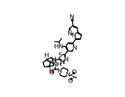 CC(C)Nc1cc(-c2ccc3cc(C#N)cnn23)ncc1-c1nnc(N2C[C@H]3CC[C@@H](C2)[C@H]3NC(=O)N2CCN(S(C)(=O)=O)CC2)s1